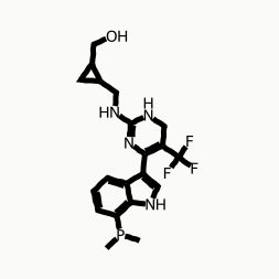 CP(C)c1cccc2c(C3=C(C(F)(F)F)CNC(NCC4CC4CO)=N3)c[nH]c12